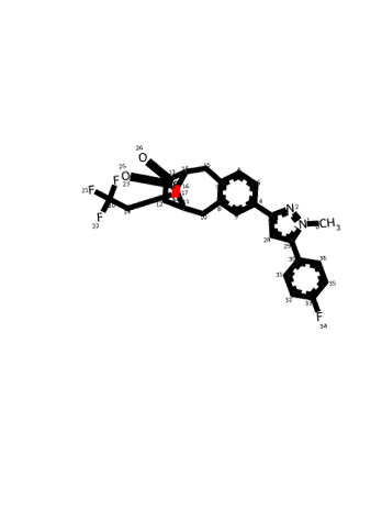 Cn1nc(-c2ccc3c(c2)CC2CCC(C3)C23CN(CC(F)(F)F)S(=O)(=O)N3)cc1-c1ccc(F)cc1